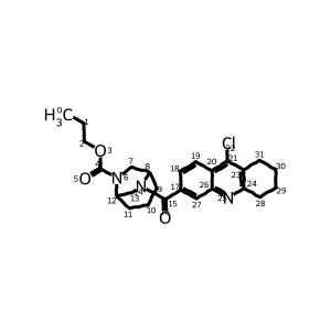 CCCOC(=O)N1CC2CCCC1CN2C(=O)c1ccc2c(Cl)c3c(nc2c1)CCCC3